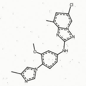 COc1cc(Nc2nc3c(C)cc(Cl)cn3n2)ccc1-n1cnc(C)c1